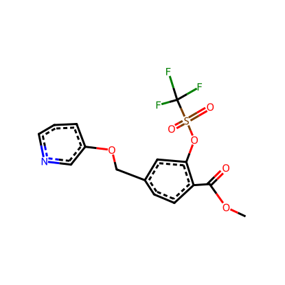 COC(=O)c1ccc(COc2cccnc2)cc1OS(=O)(=O)C(F)(F)F